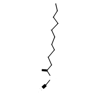 CCCCCCCCCCC(=O)OC#N